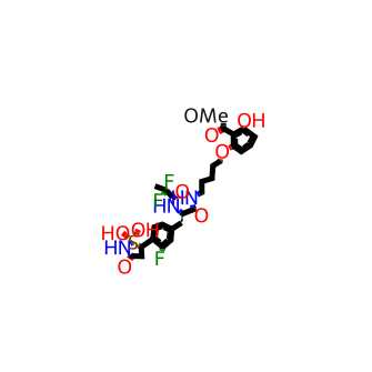 COC(=O)c1c(O)cccc1OCCCCCNC(=O)[C@H](Cc1ccc(C2CC(=O)NS2(O)O)c(F)c1)NC(=O)C(C)(F)F